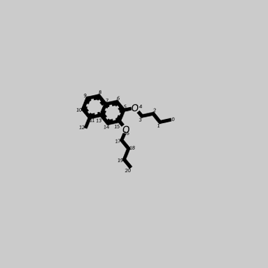 CCCCOc1cc2cccc(C)c2cc1OCCCC